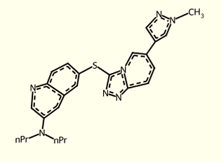 CCCN(CCC)c1cnc2ccc(Sc3nnc4ccc(-c5cnn(C)c5)cn34)cc2c1